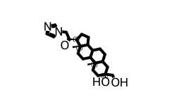 C[C@]12CC[C@](O)(CO)CC1CCC1C2CC[C@@]2(C)C1CC[C@@H]2C(=O)Cn1ccnc1